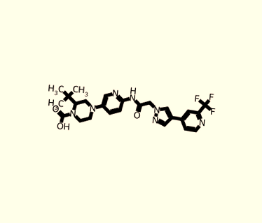 CC(C)(C)C1CN(c2ccc(NC(=O)Cn3cc(-c4ccnc(C(F)(F)F)c4)cn3)nc2)CCN1C(=O)O